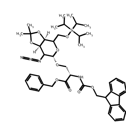 CC(C)[Si](OCC1O[C@H](OC[C@H](NC(=O)OCC2c3ccccc3-c3ccccc32)C(=O)OCc2ccccc2)C(N=[N+]=[N-])[C@H]2OC(C)(C)O[C@@H]12)(C(C)C)C(C)C